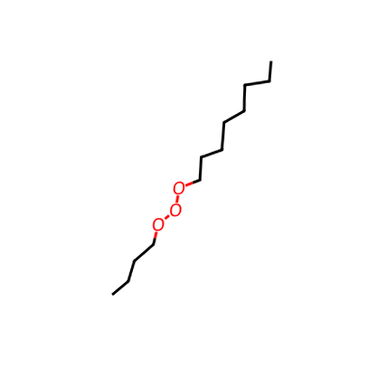 CCCCCCCCOOOCCCC